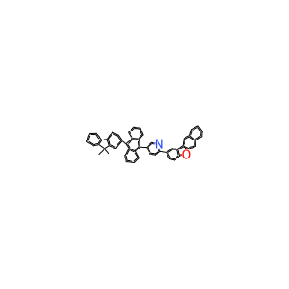 CC1(C)c2ccccc2-c2ccc(-c3c4ccccc4c(-c4ccc(-c5ccc6oc7cc8ccccc8cc7c6c5)nc4)c4ccccc34)cc21